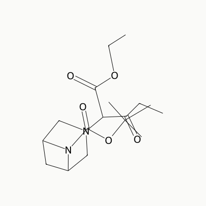 CCOC(=O)C(C(=O)CC)N1CC2CC(C1)N2C(=O)OC(C)(C)C